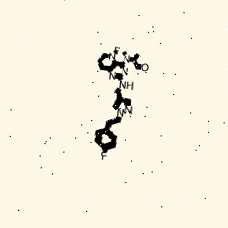 CC(C=O)N(C)c1nc(NCc2cnn(CCc3ccc(F)cc3)c2)nc2c1N(F)CCC2